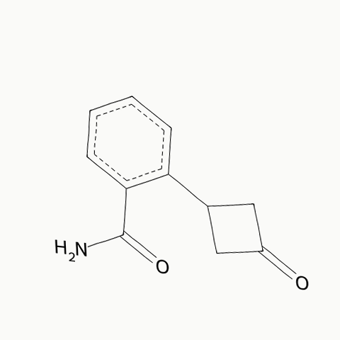 NC(=O)c1ccccc1C1CC(=O)C1